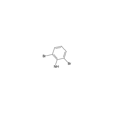 [NH]c1c(Br)cccc1Br